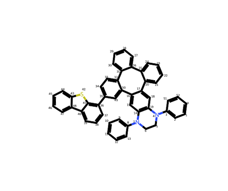 c1ccc(N2CCN(c3ccccc3)c3cc4c(cc32)-c2ccccc2-c2ccccc2-c2ccc(-c3cccc5c3sc3ccccc35)cc2-4)cc1